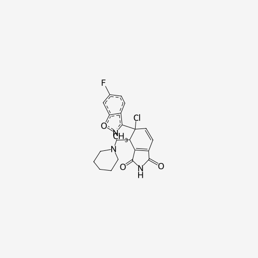 CC(C1C2=C(C=CC1(Cl)c1noc3cc(F)ccc13)C(=O)NC2=O)N1CCCCC1